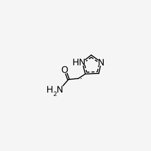 NC(=O)[CH]c1cnc[nH]1